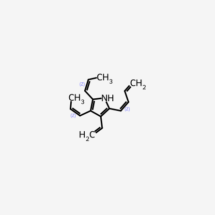 C=C/C=C\c1[nH]c(/C=C\C)c(/C=C\C)c1C=C